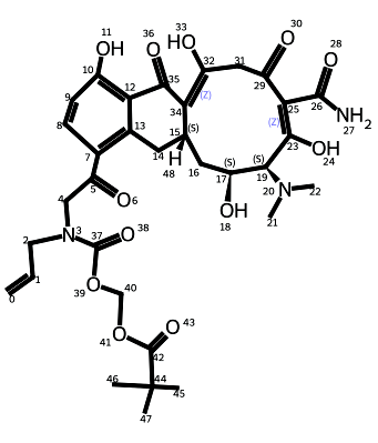 C=CCN(CC(=O)c1ccc(O)c2c1C[C@H]1C[C@H](O)[C@H](N(C)C)/C(O)=C(/C(N)=O)C(=O)C/C(O)=C\1C2=O)C(=O)OCOC(=O)C(C)(C)C